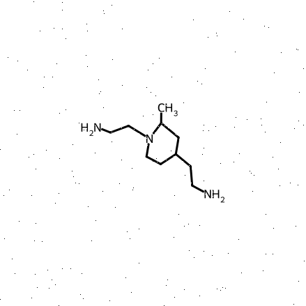 CC1CC(CCN)CCN1CCN